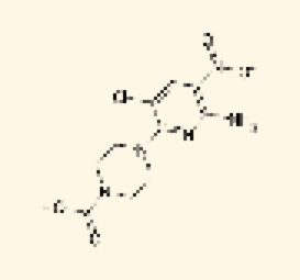 Nc1nc(N2CCN(C(=O)O)CC2)c(Cl)cc1[N+](=O)[O-]